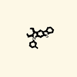 C/C=c1\c(=C/C)n(-c2cccc(C)c2)c2cc3sc4ccccc4c3cc12